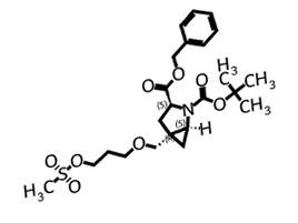 CC(C)(C)OC(=O)N1[C@H]2C[C@@]2(COCCCOS(C)(=O)=O)C[C@H]1C(=O)OCc1ccccc1